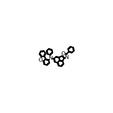 c1ccc(-c2nc3c(o2)-c2cc(N(c4ccccc4)c4cccc5oc6ccccc6c45)cc4cccc-3c24)cc1